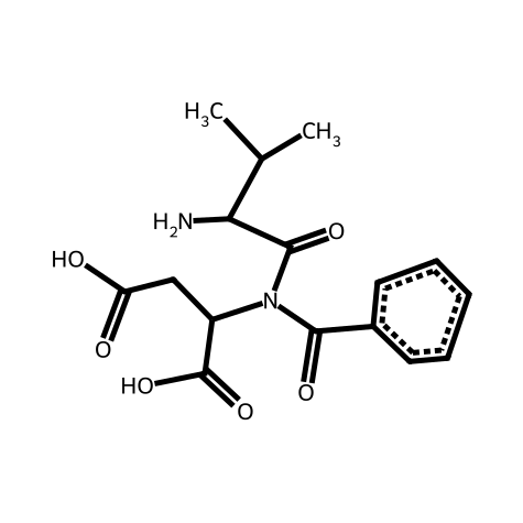 CC(C)C(N)C(=O)N(C(=O)c1ccccc1)C(CC(=O)O)C(=O)O